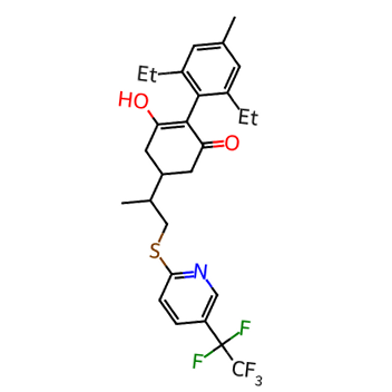 CCc1cc(C)cc(CC)c1C1=C(O)CC(C(C)CSc2ccc(C(F)(F)C(F)(F)F)cn2)CC1=O